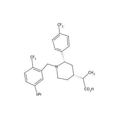 CCCc1ccc(C(F)(F)F)c(CN2CC[C@@H](C(C)C(=O)O)C[C@H]2c2ccc(C(F)(F)F)cc2)c1